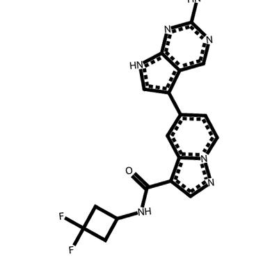 CC(C)Nc1ncc2c(-c3ccn4ncc(C(=O)NC5CC(F)(F)C5)c4c3)c[nH]c2n1